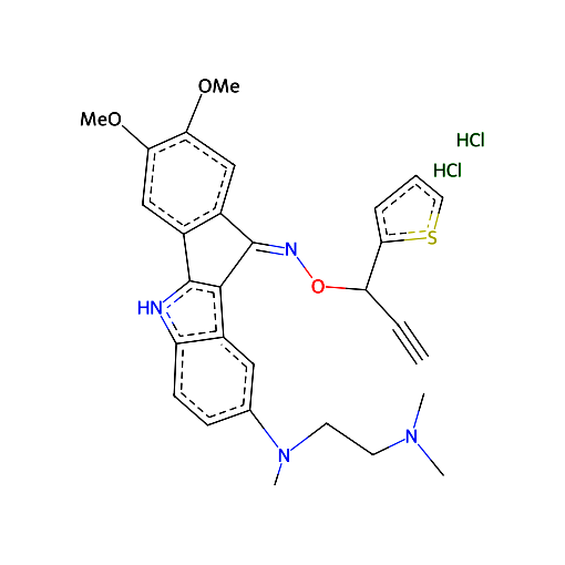 C#CC(O/N=C1/c2cc(OC)c(OC)cc2-c2[nH]c3ccc(N(C)CCN(C)C)cc3c21)c1cccs1.Cl.Cl